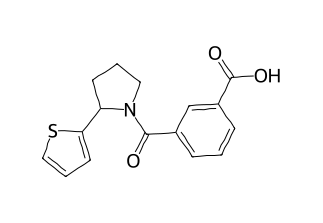 O=C(O)c1cccc(C(=O)N2CCCC2c2cccs2)c1